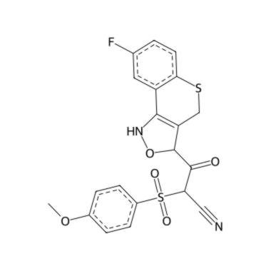 COc1ccc(S(=O)(=O)C(C#N)C(=O)C2ONC3=C2CSc2ccc(F)cc23)cc1